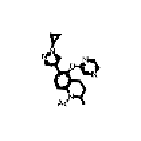 CC(=O)N1c2ccc(-c3cnn(C4CC4)c3)c(Oc3cnccn3)c2CCC1C